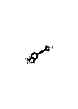 O=C1NCc2cc(C#CC3CNC3)ccc21